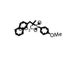 CCOC(=O)C(C)(Cc1ccc2ccccc2c1)S(=O)(=O)c1ccc(OC)cc1